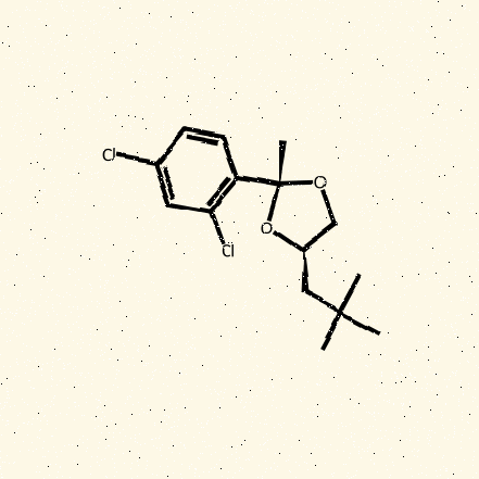 CC(C)(C)C[C@@H]1CO[C@@](C)(c2ccc(Cl)cc2Cl)O1